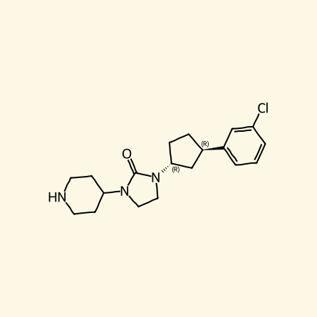 O=C1N(C2CCNCC2)CCN1[C@@H]1CC[C@@H](c2cccc(Cl)c2)C1